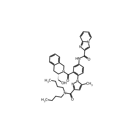 CCCCN(CCCC)C(=O)c1cc(C)n(-c2ccc(NC(=O)c3cn4ccccc4n3)cc2C(=O)N2Cc3ccccc3C[C@H]2CO)n1